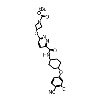 CC(C)(C)OC(=O)N1CC(Oc2ccc(C(=O)NC3CCC(Oc4ccc(C#N)c(Cl)c4)CC3)nn2)C1